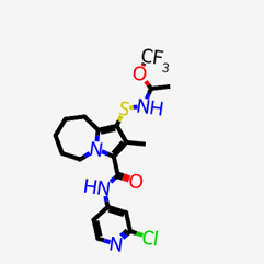 Cc1c(SNC(C)OC(F)(F)F)c2n(c1C(=O)Nc1ccnc(Cl)c1)CCCCC2